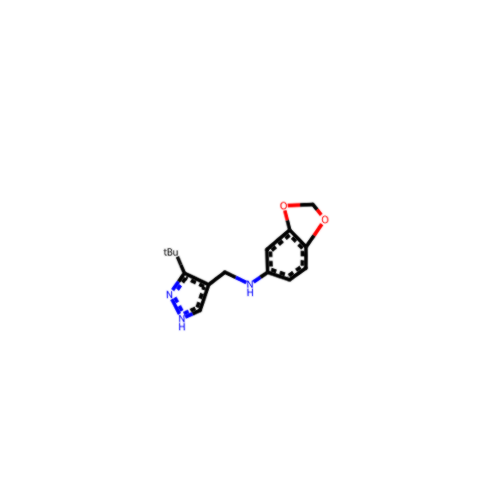 CC(C)(C)c1n[nH]cc1CNc1ccc2c(c1)OCO2